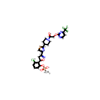 CS(=O)(=O)Oc1cccc(Cl)c1C1CC(c2csc(C3CCN(C(=O)COc4nccc(C(F)(F)F)n4)CC3)n2)=NO1